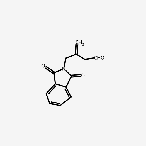 C=C(CC=O)CN1C(=O)c2ccccc2C1=O